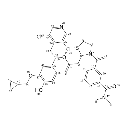 C=C(CC1SCCN1C(=C)c1cccc(C(=O)N(C)C)c1)O[C@@H](Cc1c(Cl)cncc1Cl)c1ccc(O)c(OCC2CC2)c1